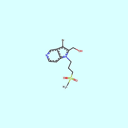 CS(=O)(=O)CCCn1c(CO)c(Br)c2cnccc21